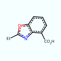 CCc1nc2c(C(=O)O)cccc2o1